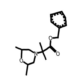 CC1CN(C(C)(C)C(=O)OCc2ccccc2)CC(C)O1